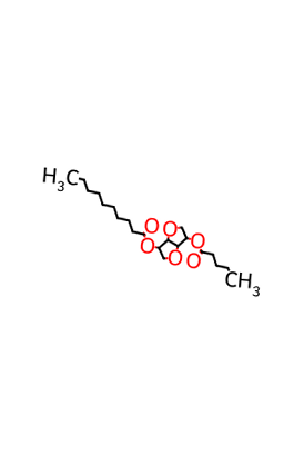 CCCCCCCCCC(=O)OC1COC2C(OC(=O)CCCC)COC12